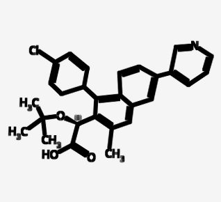 Cc1cc2cc(-c3cccnc3)ccc2c(C2C=CC(Cl)=CC2)c1[C@H](OC(C)(C)C)C(=O)O